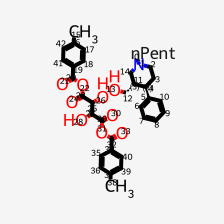 CCCCCN1CC[C@@H](c2ccccc2)[C@H](CO)C1.Cc1ccc(C(=O)OC(=O)C(O)C(O)C(=O)OC(=O)c2ccc(C)cc2)cc1